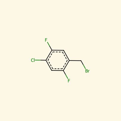 Fc1cc(CBr)c(F)cc1Cl